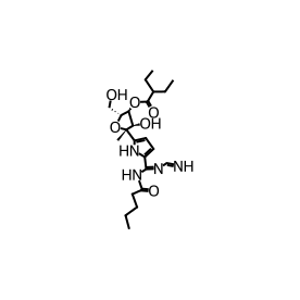 CCCCC(=O)N/C(=N/C=N)c1ccc([C@]2(C)O[C@H](CO)[C@@H](OC(=O)C(CC)CC)[C@H]2O)[nH]1